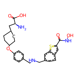 N[C@@H](CC1CCC(Oc2ccc(CNCc3ccc4cc(C(=O)NO)sc4c3)cc2)CC1)C(=O)O